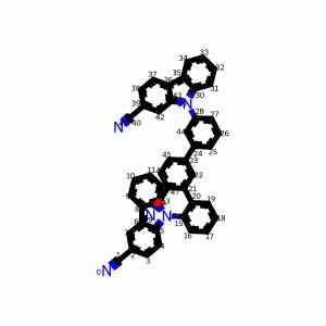 N#Cc1ccc2c(c1)c1ccccc1n2-c1ccccc1-c1cc(-c2cccc(-n3c4ccccc4c4ccc(C#N)cc43)c2)ccc1C#N